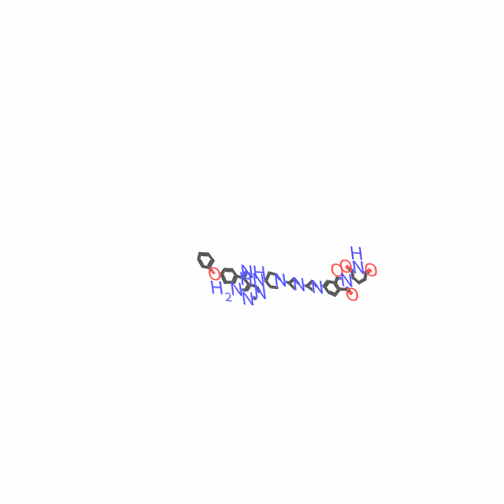 N=C(c1ccc(Oc2ccccc2)cc1)c1c(N)ncnc1NC1CCN(C2CN(C3CN(c4ccc5c(c4)C(=O)N(C4CCC(=O)NC4=O)C5=O)C3)C2)CC1